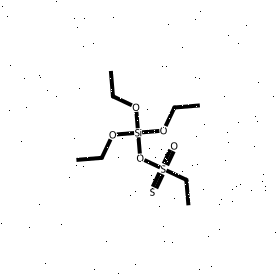 CCO[Si](OCC)(OCC)OS(=O)(=S)CC